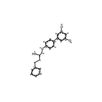 OC(CCc1cccnc1)COc1ccc(-c2cc(Cl)cc(Cl)c2)cc1